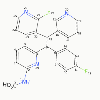 O=C(O)Nc1cccc(C(c2ccc(F)cc2)C(c2cccnc2)c2cccnc2F)n1